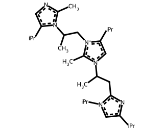 Cc1ncc(C(C)C)n1C(C)C[n+]1c(C(C)C)cn(C(C)Cc2nc(C(C)C)cn2C(C)C)c1C